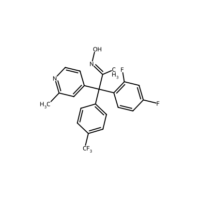 CC(=NO)C(c1ccc(C(F)(F)F)cc1)(c1ccnc(C)c1)c1ccc(F)cc1F